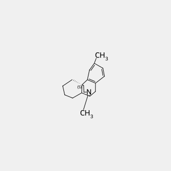 Cc1ccc2c(c1)[C@]13CCCCC1C(C2)N(C)CC3